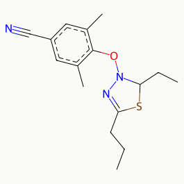 CCCC1=NN(Oc2c(C)cc(C#N)cc2C)C(CC)S1